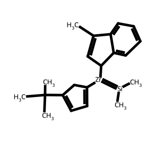 CC1=C[CH]([Zr]([C]2=CC=C(C(C)(C)C)C2)=[Si](C)C)c2ccccc21